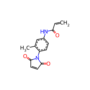 C=CC(=O)Nc1ccc(N2C(=O)C=CC2=O)c(C)c1